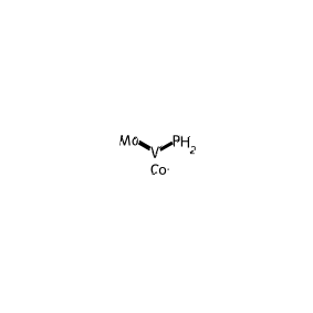 [Co].[PH2][V][Mo]